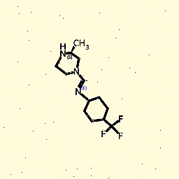 C[C@H]1CN(/[C]=N/C2CCC(C(F)(F)F)CC2)CCN1